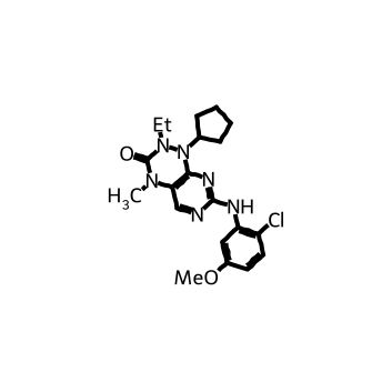 CCN1C(=O)N(C)c2cnc(Nc3cc(OC)ccc3Cl)nc2N1C1CCCC1